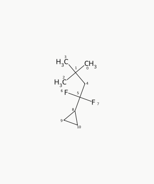 CC(C)(C)CC(F)(F)C1CC1